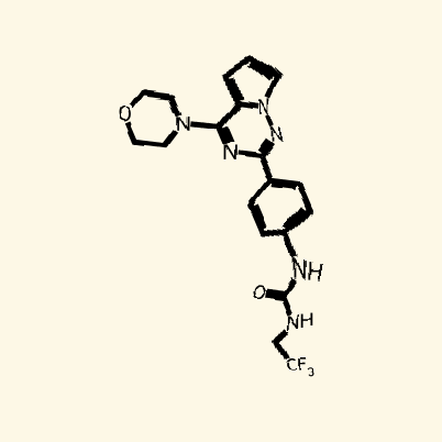 O=C(NCC(F)(F)F)Nc1ccc(-c2nc(N3CCOCC3)c3cccn3n2)cc1